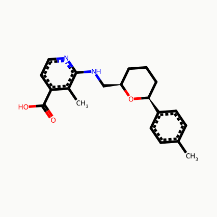 Cc1ccc([C@@H]2CCC[C@H](CNc3nccc(C(=O)O)c3C)O2)cc1